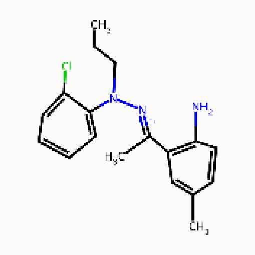 CCCN(/N=C(\C)c1cc(C)ccc1N)c1ccccc1Cl